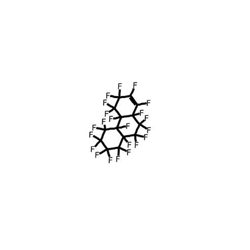 FC1=C(F)C2(F)C(F)(F)C(F)(F)C3(F)C(F)(F)C(F)(F)C(F)(F)C(F)(F)C3(F)C2(F)C(F)(F)C1(F)F